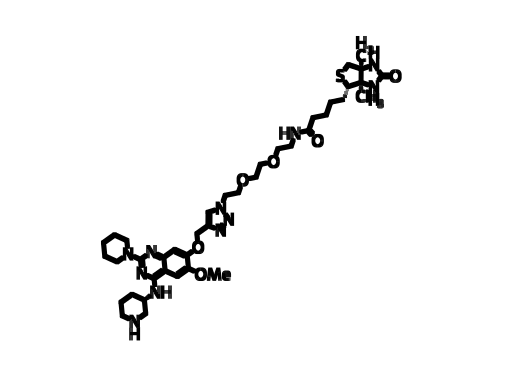 COc1cc2c(N[C@@H]3CCCNC3)nc(N3CCCCC3)nc2cc1OCc1cn(CCOCCOCCNC(=O)CCCC[C@@H]2SC[C@]3(C)NC(=O)N[C@]23C)nn1